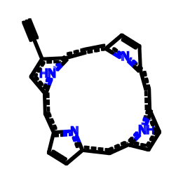 C#Cc1cc2cc3nc(cc4ccc(cc5nc(cc1[nH]2)C=C5)[nH]4)C=C3